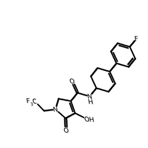 O=C(NC1CC=C(c2ccc(F)cc2)CC1)C1=C(O)C(=O)N(CC(F)(F)F)C1